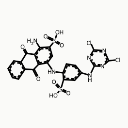 Nc1c(S(=O)(=O)O)cc(Nc2ccc(Nc3nc(Cl)nc(Cl)n3)cc2S(=O)(=O)O)c2c1C(=O)c1ccccc1C2=O